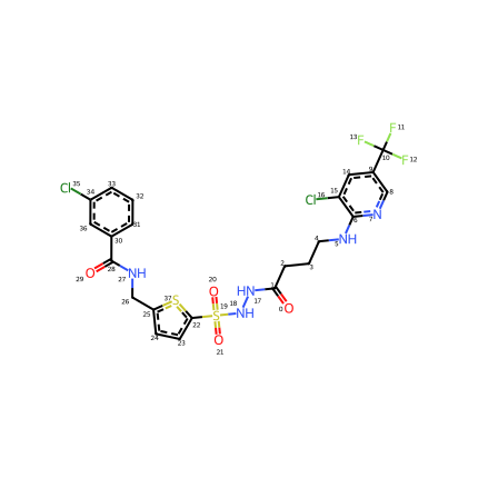 O=C(CCCNc1ncc(C(F)(F)F)cc1Cl)NNS(=O)(=O)c1ccc(CNC(=O)c2cccc(Cl)c2)s1